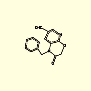 O=Cc1cnc2c(c1)N(Cc1ccccc1)C(=O)CO2